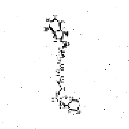 C[Si](C)(CCCSSSSSSSc1nc2ccccc2s1)OC1CCCCC1